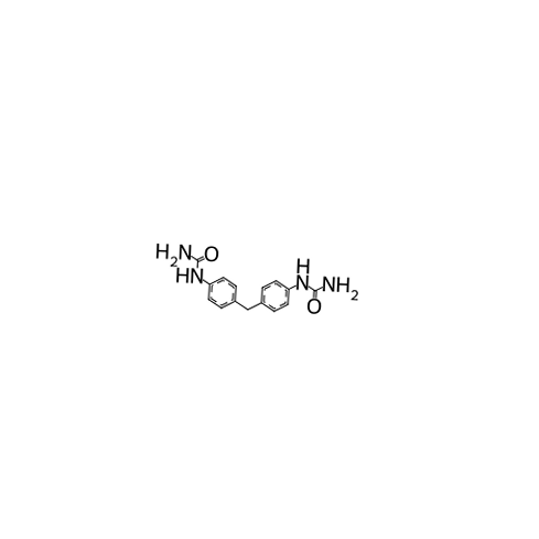 NC(=O)Nc1ccc(Cc2ccc(NC(N)=O)cc2)cc1